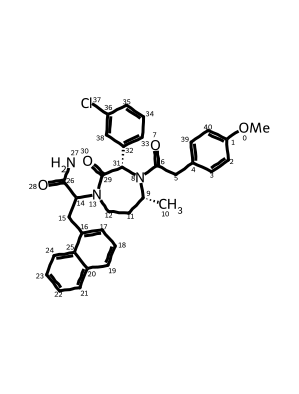 COc1ccc(CC(=O)N2[C@H](C)CCN(C(Cc3cccc4ccccc34)C(N)=O)C(=O)[C@@H]2c2cccc(Cl)c2)cc1